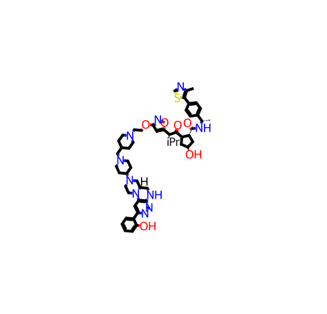 Cc1ncsc1-c1ccc([C@H](C)NC(=O)[C@@H]2C[C@@H](O)CC2C(=O)[C@@H](c2cc(OCCN3CCC(CN4CCC(N5CCN6c7cc(-c8ccccc8O)nnc7NC[C@H]6C5)CC4)CC3)no2)C(C)C)cc1